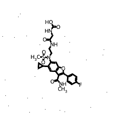 CNC(=O)c1c(-c2ccc(F)cc2)oc2cc(N(CCNC(=O)CNC(=O)O)S(C)(=O)=O)c(C3CC3)cc12